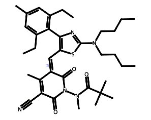 CCCCN(CCCC)c1nc(-c2c(CC)cc(C)cc2CC)c(/C=C2\C(=O)N(N(C)C(=O)C(C)(C)C)C(=O)C(C#N)=C2C)s1